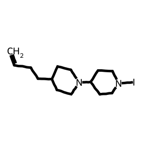 C=CCCC1CCN(C2CCN(I)CC2)CC1